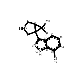 FC1(F)C2CNCC21c1n[nH]c2c(Cl)cccc12